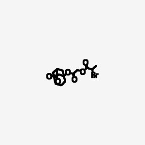 CC(Br)C(=O)OCC(=O)OC12CC3CC(C1)OC(=O)C(C3)C2